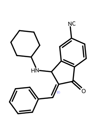 [C-]#[N+]c1ccc2c(c1)C(NC1CCCCC1)/C(=C\c1ccccc1)C2=O